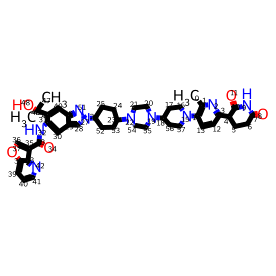 Cc1nc(C2CCC(=O)NC2=O)ccc1N1CCC(N2CCN(C3CCC(n4cc5cc(NC(=O)c6coc7cccnc67)c(C(C)(C)O)cc5n4)CC3)CC2)CC1